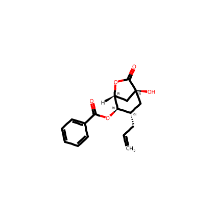 C=CC[C@H]1C[C@]2(O)C[C@@H](OC2=O)[C@@H]1OC(=O)c1ccccc1